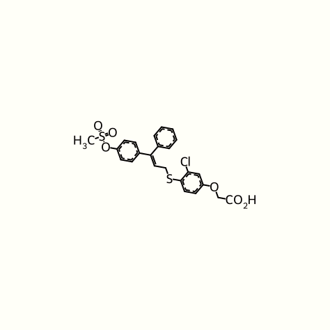 CS(=O)(=O)Oc1ccc(C(=CCSc2ccc(OCC(=O)O)cc2Cl)c2ccccc2)cc1